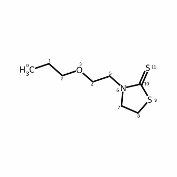 CCCOCCN1CCSC1=S